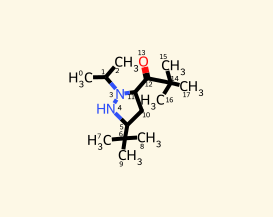 CC(C)N1NC(C(C)(C)C)CC1C(=O)C(C)(C)C